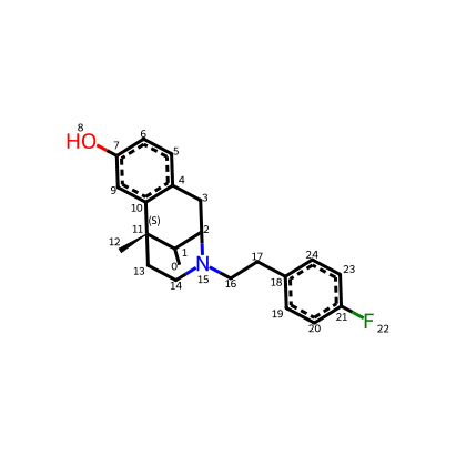 CC1C2Cc3ccc(O)cc3[C@@]1(C)CCN2CCc1ccc(F)cc1